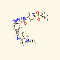 CC(C)S(=O)(=O)c1ccc(NC(=O)c2n[nH]c3ccc(-c4cncc(CN(C)C)c4)cc23)cn1